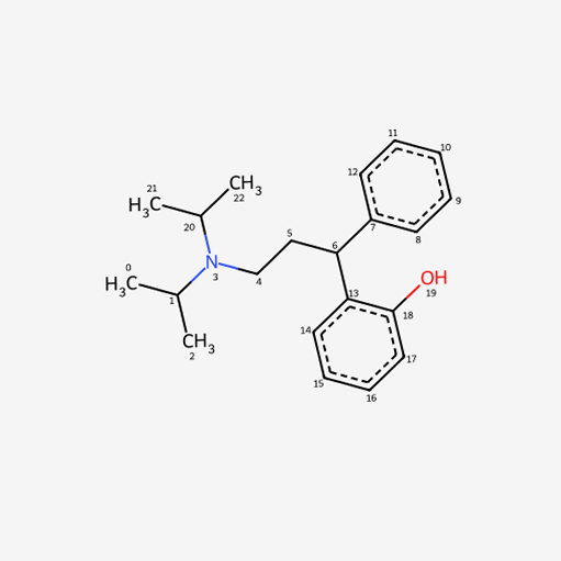 CC(C)N(CCC(c1ccccc1)c1ccccc1O)C(C)C